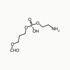 NCCOP(=O)(O)OCCCOC=O